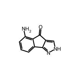 Nc1cccc2c1C(=O)c1c[nH]nc1-2